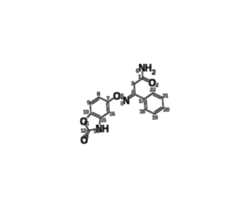 NC(=O)C/C(=N\Oc1ccc2oc(=O)[nH]c2c1)c1ccccc1